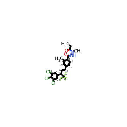 CCC(=O)N(C)NC(=O)c1ccc(/C=C/C(c2cc(Cl)c(Cl)c(Cl)c2)C(F)(F)F)cc1C